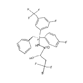 O=C(N[C@](Cc1ccccc1)(c1ccc(F)cc1)c1cc(F)cc(C(F)(F)F)c1)C(O)CC(F)(F)F